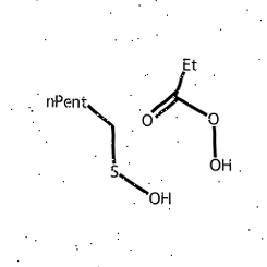 CCC(=O)OO.CCCCCCSO